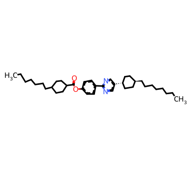 CCCCCCCC[C@H]1CC[C@H](c2cnc(-c3ccc(OC(=O)C4CCC(CCCCCCC)CC4)cc3)nc2)CC1